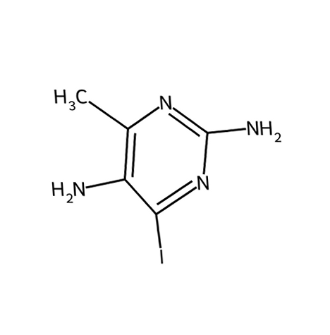 Cc1nc(N)nc(I)c1N